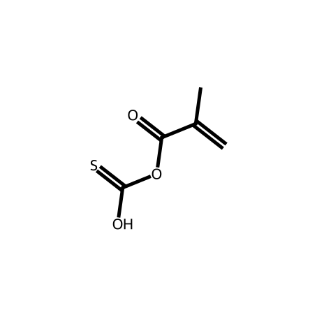 C=C(C)C(=O)OC(O)=S